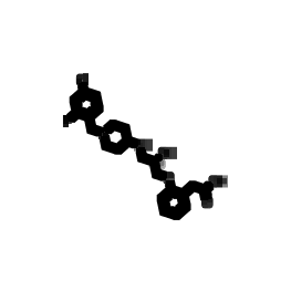 O=C(O)Cc1ccccc1OC[C@H](O)CNC1CCN(Cc2ccc(Cl)cc2F)CC1